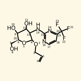 C=CCOC1O[C@@H](CO)C(O)C(O)C1Nc1nccc(C(F)(F)F)n1